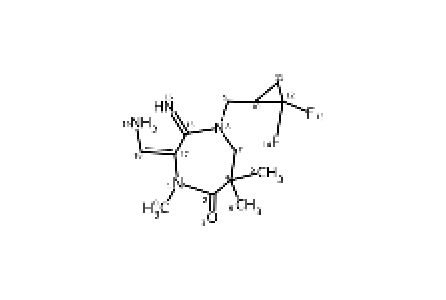 CN1C(=O)C(C)(C)CN(CC2CC2(F)F)C(=N)/C1=C\N